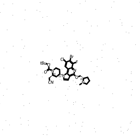 CN1CCC[C@H]1COc1nc2c(F)c(Br)c(Cl)cc2c2c1ccn2[C@H]1CCN(C(=O)OC(C)(C)C)[C@H](CC#N)C1